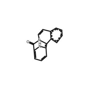 O=C1C2=CC=CC(=C3c4ccccc4C=CN13)N2